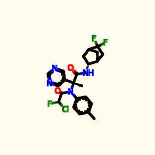 Cc1ccc(N(C(=O)[C@H](F)Cl)[C@@](C)(C(=O)N[C@@H]2CC3CC2CC3(F)F)c2cncnc2)cc1